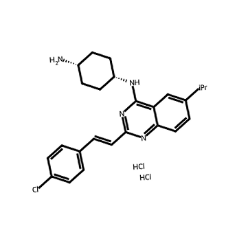 CC(C)c1ccc2nc(C=Cc3ccc(Cl)cc3)nc(N[C@H]3CC[C@@H](N)CC3)c2c1.Cl.Cl